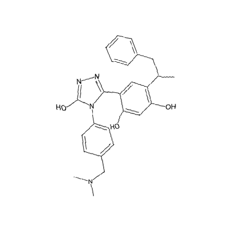 CC(Cc1ccccc1)c1cc(-c2nnc(O)n2-c2ccc(CN(C)C)cc2)c(O)cc1O